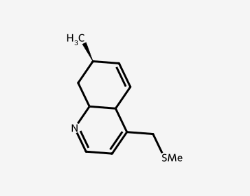 CSCC1=CC=NC2C[C@@H](C)C=CC12